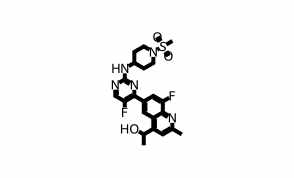 Cc1cc(C(C)O)c2cc(-c3nc(NC4CCN(S(C)(=O)=O)CC4)ncc3F)cc(F)c2n1